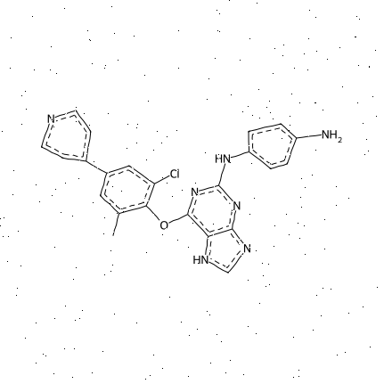 Cc1cc(-c2ccncc2)cc(Cl)c1Oc1nc(Nc2ccc(N)cc2)nc2nc[nH]c12